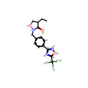 CCC1CON(Cc2ccc(-c3noc(C(F)(F)F)n3)cc2)C1=O